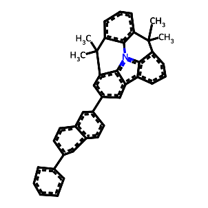 CC1(C)c2cccc3c2-n2c4c1cccc4c1cc(-c4ccc5cc(-c6ccccc6)ccc5c4)cc(c12)C3(C)C